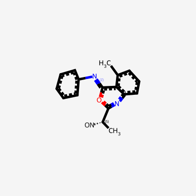 Cc1cccc2nc([C@H](C)N=O)o/c(=N\c3ccccc3)c12